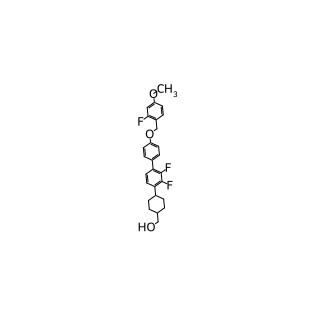 COc1ccc(COc2ccc(-c3ccc(C4CCC(CO)CC4)c(F)c3F)cc2)c(F)c1